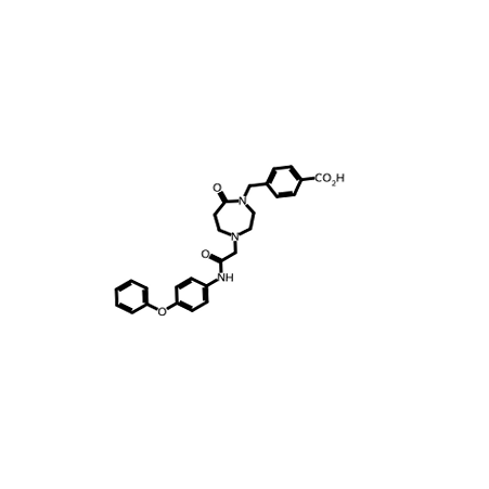 O=C(CN1CCC(=O)N(Cc2ccc(C(=O)O)cc2)CC1)Nc1ccc(Oc2ccccc2)cc1